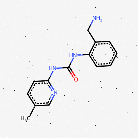 Cc1ccc(NC(=O)Nc2ccccc2CN)nc1